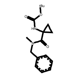 CN(Cc1ccccc1)C(=O)C1(NC(=O)OC(C)(C)C)CC1